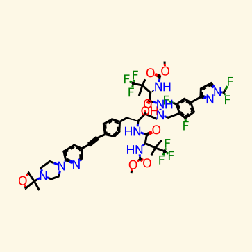 COC(=O)NC(C(=O)N[C@@H](Cc1ccc(C#Cc2ccc(N3CCN(C4(C)COC4)CC3)nc2)cc1)[C@@H](O)CN(Cc1c(F)cc(-c2ccn(C(F)F)n2)cc1F)NC(=O)[C@@H](NC(=O)OC)C(C)(C)C(F)(F)F)C(C)(C)C(F)(F)F